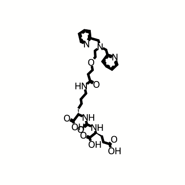 O=C(O)CC[C@H](NC(=O)N[C@@H](CCCCNC(=O)CCOCCN(Cc1ccccn1)Cc1ccccn1)C(=O)O)C(=O)O